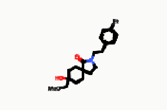 CCc1ccc(CCN2CCC3(CCC(O)(COC)CC3)C2=O)cc1